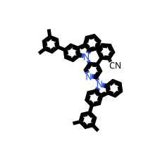 Cc1cc(C)cc(-c2ccc3c(c2)c2ccccc2n3-c2cc(-c3ccccc3C#N)c(-n3c4ccccc4c4cc(-c5cc(C)cc(C)c5)ccc43)cn2)c1